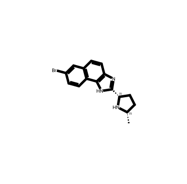 C[C@H]1CC[C@@H](c2nc3ccc4cc(Br)ccc4c3[nH]2)N1